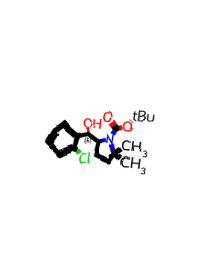 CC(C)(C)OC(=O)N1C([C@H](O)c2ccccc2Cl)CCC1(C)C